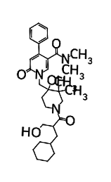 CN(C)C(=O)c1cn(CC2(O)CCN(C(=O)C(CO)CC3CCCCC3)CC2(C)C)c(=O)cc1-c1ccccc1